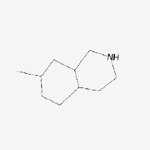 CC1CCC2CCNCC2C1